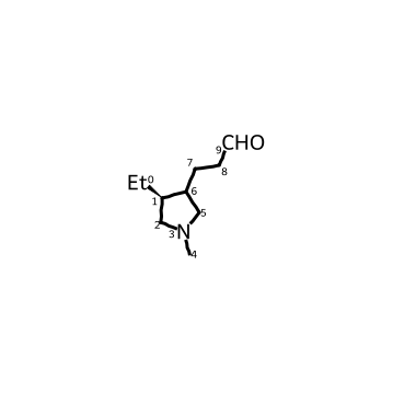 CC[C@@H]1CN(C)CC1CCC=O